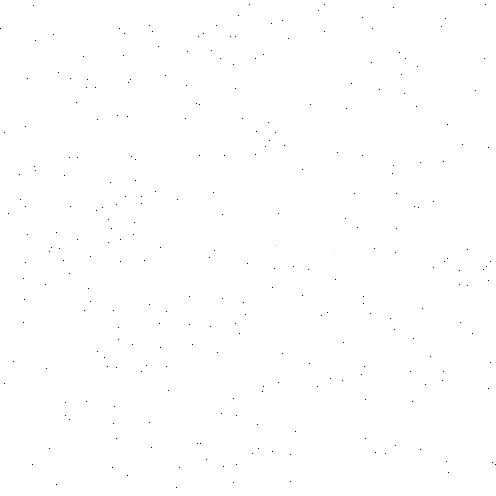 CC(CC(C)(C)C)C(C)(C)C(O)P